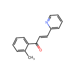 Cc1ccccc1C(=O)/C=C/c1ccccn1